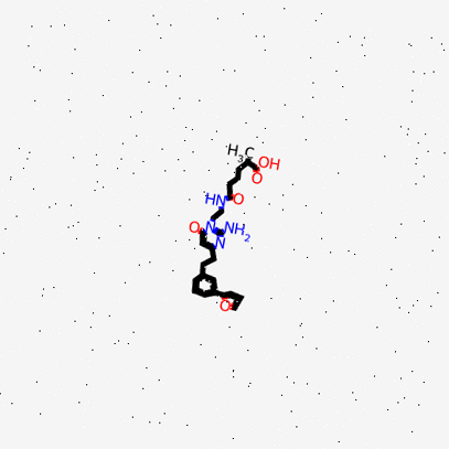 CC(CCCC(=O)NCCn1c(N)nc(CCc2cccc(-c3ccco3)c2)cc1=O)C(=O)O